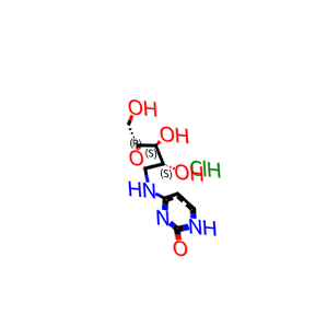 Cl.O=c1nc(NC2O[C@H](CO)[C@@H](O)[C@@H]2O)cc[nH]1